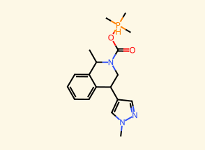 CC1c2ccccc2C(c2cnn(C)c2)CN1C(=O)O[PH](C)(C)C